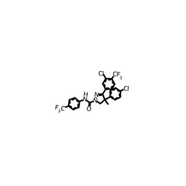 CC1(c2ccc(Cl)cc2)CN(C(=O)Nc2ccc(C(F)(F)F)cc2)N=C1c1ccc(C(F)(F)F)c(Cl)c1